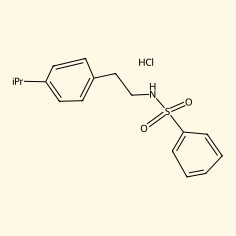 CC(C)c1ccc(CCNS(=O)(=O)c2ccccc2)cc1.Cl